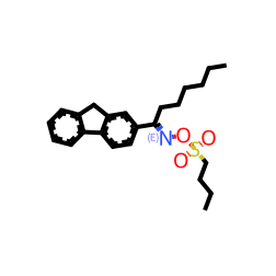 CCCCCC/C(=N\OS(=O)(=O)CCCC)c1ccc2c(c1)Cc1ccccc1-2